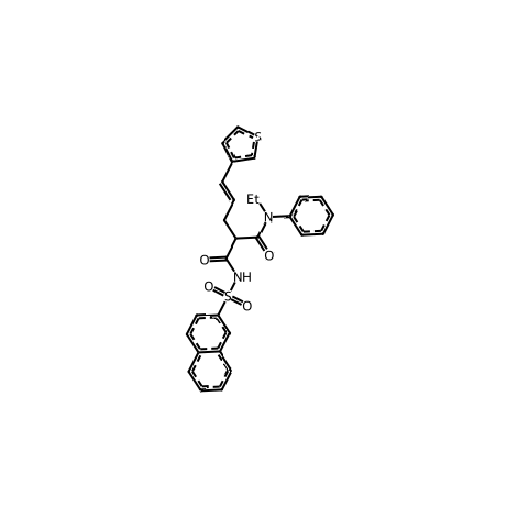 CCN(C(=O)C(C/C=C/c1ccsc1)C(=O)NS(=O)(=O)c1ccc2ccccc2c1)c1ccccc1